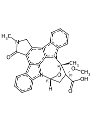 CO[C@]1(C(=O)O)C[C@H]2O[C@]1(C)n1c3ccccc3c3c4c(c5c6ccccc6n2c5c31)C(=O)N(C)C4